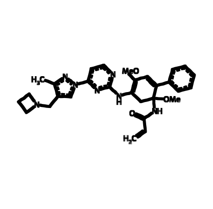 C=CC(=O)NC1(OC)CC(Nc2nccc(-n3cc(CN4CCC4)c(C)n3)n2)=C(OC)C=C1c1ccccc1